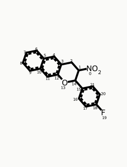 O=[N+]([O-])C1Cc2cc3ccccc3cc2OC1c1ccc(F)cc1